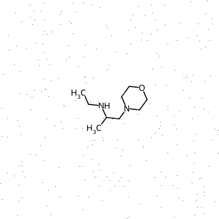 CCNC(C)CN1CCOCC1